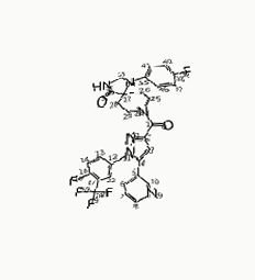 O=C(c1cc(-c2cccnc2)n(-c2ccc(F)c(C(F)(F)F)c2)n1)N1CCC2(CC1)C(=O)NCN2c1ccc(F)cc1